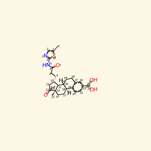 Cc1cnc(NC(=O)CC[C@H]2CC(=O)[C@@]3(C)CC[C@@H]4c5ccc(B(O)O)cc5CC[C@H]4[C@H]23)s1